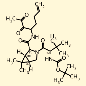 C=CCCC(NC(=O)[C@@H]1[C@@H]2[C@H](CN1C(=O)[C@@H](NC(=O)OC(C)(C)C)C(C)(C)C)C2(C)C)C(=O)C(C)=O